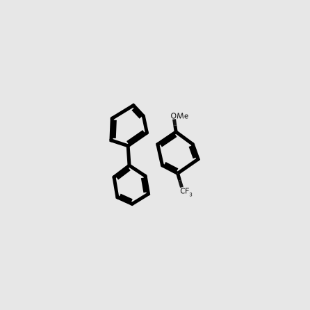 COc1ccc(C(F)(F)F)cc1.c1ccc(-c2ccccc2)cc1